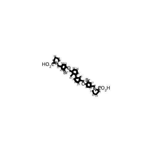 Cc1c(COc2ccc(CN3CCCC[C@H]3C(=O)O)cc2Br)cccc1-c1cccc(COc2ccc(CN3CCCC[C@H]3C(=O)O)cc2Br)c1C